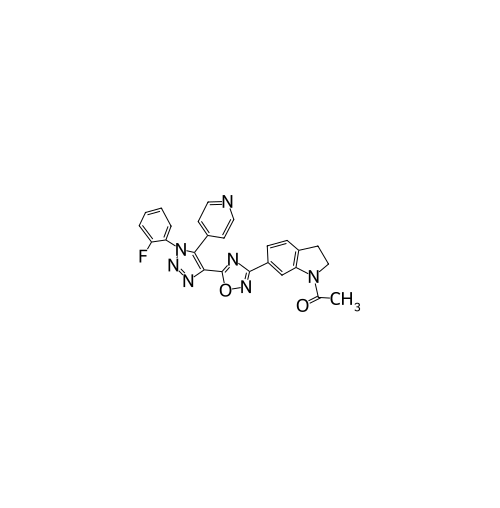 CC(=O)N1CCc2ccc(-c3noc(-c4nnn(-c5ccccc5F)c4-c4ccncc4)n3)cc21